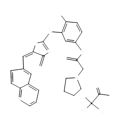 O=C(CN1CCCC1)Nc1ccc(Cl)c(NC2=NC(=O)C(=Cc3ccc4ncccc4c3)S2)c1.O=C(O)C(F)(F)F